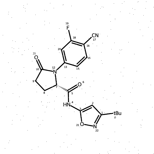 CC(C)(C)c1cc(NC(=O)[C@@H]2CCC(=O)N2c2ccc(C#N)c(F)c2)on1